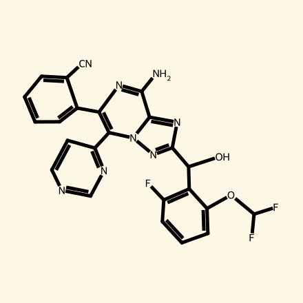 N#Cc1ccccc1-c1nc(N)c2nc(C(O)c3c(F)cccc3OC(F)F)nn2c1-c1ccncn1